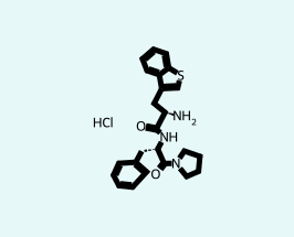 Cl.N[C@@H](Cc1csc2ccccc12)C(=O)N[C@@H](Cc1ccccc1)C(=O)N1CCCC1